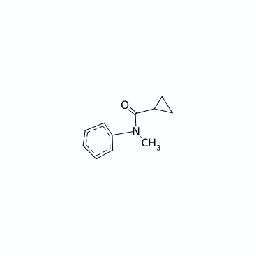 CN(C(=O)C1CC1)c1ccccc1